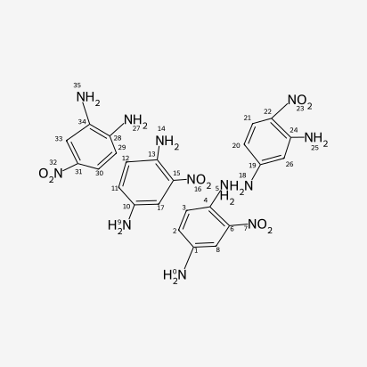 Nc1ccc(N)c([N+](=O)[O-])c1.Nc1ccc(N)c([N+](=O)[O-])c1.Nc1ccc([N+](=O)[O-])c(N)c1.Nc1ccc([N+](=O)[O-])cc1N